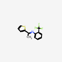 C/C(=N\c1ccccc1C(F)(F)F)c1cccs1